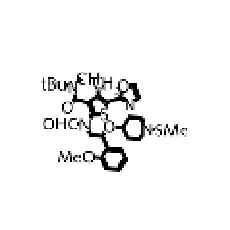 COc1ccccc1C(CN(C=O)c1sc(-c2ncco2)c(C)c1C(=O)N(C)C(C)(C)C)OC1CCN(SC)CC1